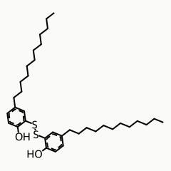 CCCCCCCCCCCCc1ccc(O)c(SSc2cc(CCCCCCCCCCCC)ccc2O)c1